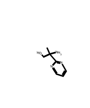 CC(N)(CO)c1ncccn1